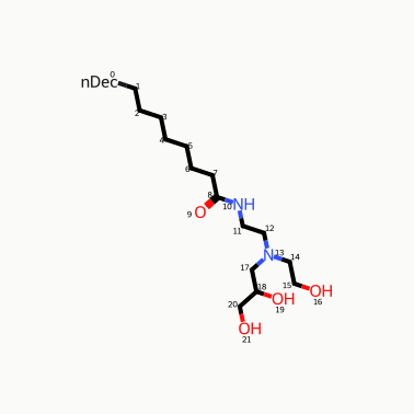 CCCCCCCCCCCCCCCCCC(=O)NCCN(CCO)CC(O)CO